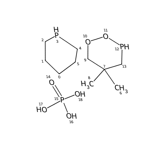 C1CCPCC1.CC1(C)COOPC1.O=P(O)(O)O